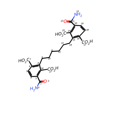 NC(=O)c1ccc(C(=O)O)c(CCCCCCc2c(C(=O)O)ccc(C(N)=O)c2C(=O)O)c1C(=O)O